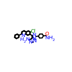 NC(=O)C1CCC(c2nc(-c3cc4nc(-c5ccccc5)ccc4cc3Cl)c3c(N)ncnn23)CC1